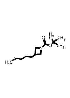 CSCCCC1CN(C(=O)OC(C)(C)C)C1